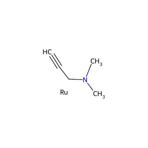 C#CCN(C)C.[Ru]